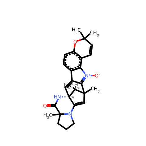 C[C@H]1C2(C)C=C3N4CCCC4(C)C(=O)N[C@@]31C=C1C2=[N+]([O-])c2c1ccc1c2C=CC(C)(C)O1